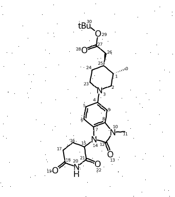 C[C@@H]1CN(c2ccc3c(c2)n(C)c(=O)n3C2CCC(=O)NC2=O)CC[C@H]1CC(=O)OC(C)(C)C